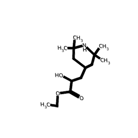 CCOC(=O)C(O)CC1CC(C)(C)NC(C)(C)C1